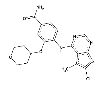 Cc1c(Cl)sc2ncnc(Nc3ccc(C(N)=O)cc3OC3CCOCC3)c12